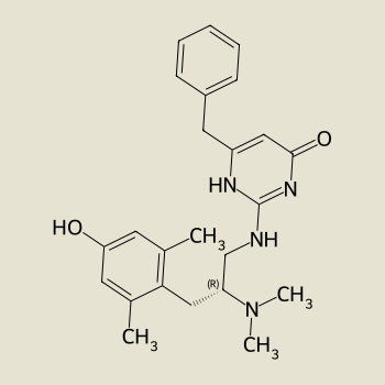 Cc1cc(O)cc(C)c1C[C@H](CNc1nc(=O)cc(Cc2ccccc2)[nH]1)N(C)C